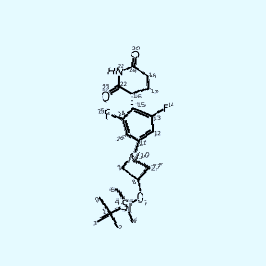 CC(C)(C)[Si](C)(C)OC1CN(c2cc(F)c([C@H]3CCC(=O)NC3=O)c(F)c2)C1